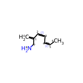 C=C(/C=C\C=C/C)CN